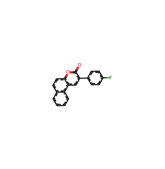 O=c1oc2ccc3ccccc3c2cc1-c1ccc(F)cc1